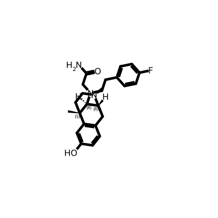 CN1CC[C@@]2(C)c3cc(O)ccc3C[C@@H]1[C@@H]2N(CCc1ccc(F)cc1)CC(N)=O